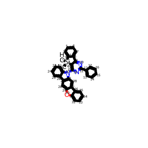 C[Si]1(C)c2ccccc2-c2nc(-c3ccccc3)nc(-n3c4ccccc4c4cc5oc6ccccc6c5cc43)c21